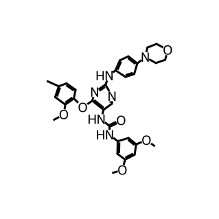 COc1cc(NC(=O)Nc2cnc(Nc3ccc(N4CCOCC4)cc3)nc2Oc2ccc(C)cc2OC)cc(OC)c1